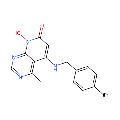 Cc1ncnc2c1c(NCc1ccc(C(C)C)cc1)cc(=O)n2O